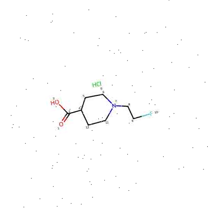 Cl.O=C(O)C1CCN(CCF)CC1